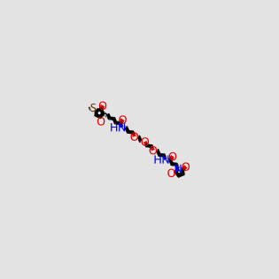 CSC1CC(=O)[C@@H](CCCCC(=O)NCCCOCCOCCOCCCNC(=O)CCN2C(=O)C=CC2=O)C1=O